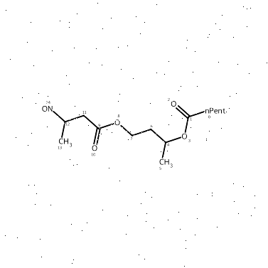 CCCCCC(=O)OC(C)CCOC(=O)CC(C)N=O